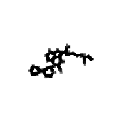 C=CC(=O)NCCNC(O)c1sc2nccc3c2c1NC(=O)N3c1cc(-c2ccccc2)ccn1